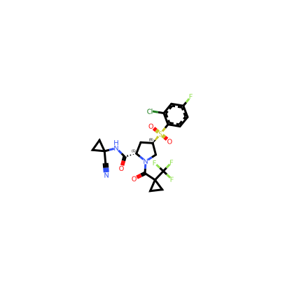 N#CC1(NC(=O)[C@@H]2C[C@@H](S(=O)(=O)c3ccc(F)cc3Cl)CN2C(=O)C2(C(F)(F)F)CC2)CC1